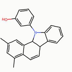 Cc1cc(C)c2c(c1)C1C(C=C2)c2ccccc2N1c1cccc(O)c1